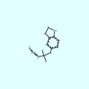 CC(C)(Cc1ccc2c(c1)CCO2)N=[N+]=[N-]